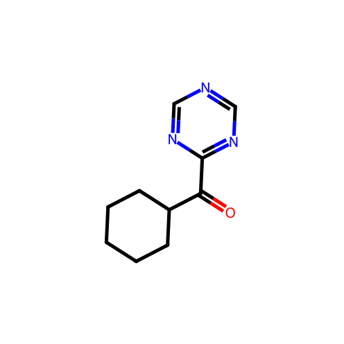 O=C(c1ncncn1)C1CCCCC1